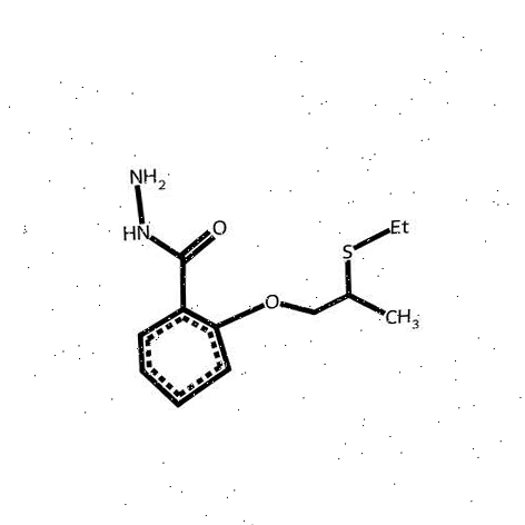 CCSC(C)COc1ccccc1C(=O)NN